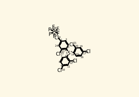 Clc1ccc([S+](c2ccc(Cl)cc2Cl)c2ccc(Cl)cc2Cl)c(Cl)c1.F[P-](F)(F)(F)(F)F